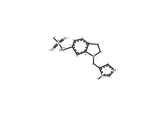 Cn1cncc1CN1CCc2ccc(NS(C)(=O)=O)cc21